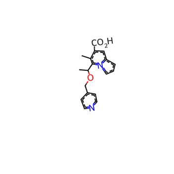 Cc1c(C(=O)O)cc2cccn2c1C(C)OCc1ccncc1